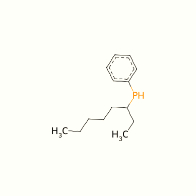 CCCCCC(CC)Pc1ccccc1